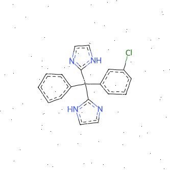 Clc1cccc(C(c2ccccc2)(c2ncc[nH]2)c2ncc[nH]2)c1